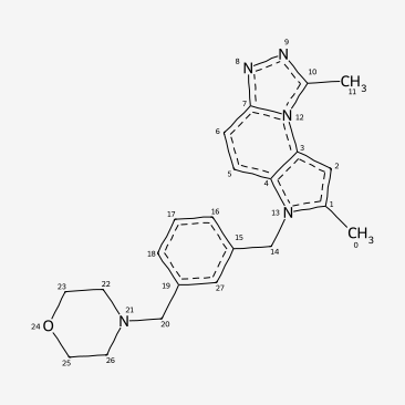 Cc1cc2c(ccc3nnc(C)n32)n1Cc1cccc(CN2CCOCC2)c1